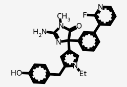 CCn1cc(C2(c3cccc(-c4cccnc4F)c3)N=C(N)N(C)C2=O)cc1Cc1ccc(O)cc1